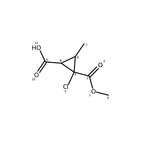 COC(=O)C1(Cl)C(C)C1C(=O)O